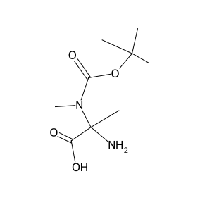 CN(C(=O)OC(C)(C)C)C(C)(N)C(=O)O